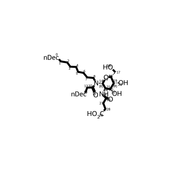 CCCCCCCCCCCCCCCCCCN(C(=O)CCCCCCCCCCC)[C@@H]1O[C@H](CO)[C@H](O)[C@H](O)[C@@H]1NC(=O)CCC(=O)O